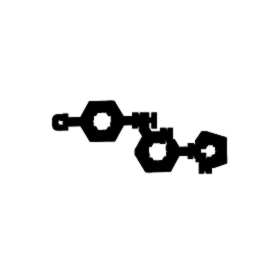 Clc1ccc(Nc2cccc(-n3cccn3)n2)cc1